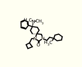 CN(C)[C@]1(c2ccccc2)CC[C@]2(CC1)CN(CCC1(C)CCCCC1)C(=O)N2CC1CCC1